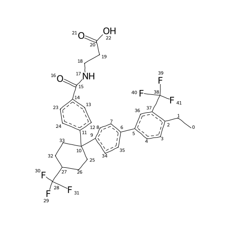 CCc1ccc(-c2ccc(C3(c4ccc(C(=O)NCCC(=O)O)cc4)CCC(C(F)(F)F)CC3)cc2)cc1C(F)(F)F